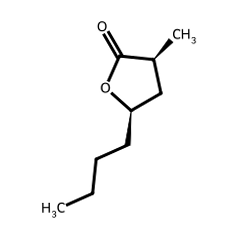 CCCC[C@@H]1C[C@H](C)C(=O)O1